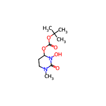 CN1CCC(OC(=O)OC(C)(C)C)N(O)C1=O